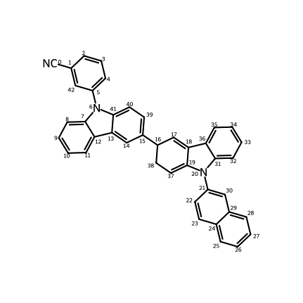 N#Cc1cccc(-n2c3ccccc3c3cc(C4C=c5c(n(-c6ccc7ccccc7c6)c6ccccc56)=CC4)ccc32)c1